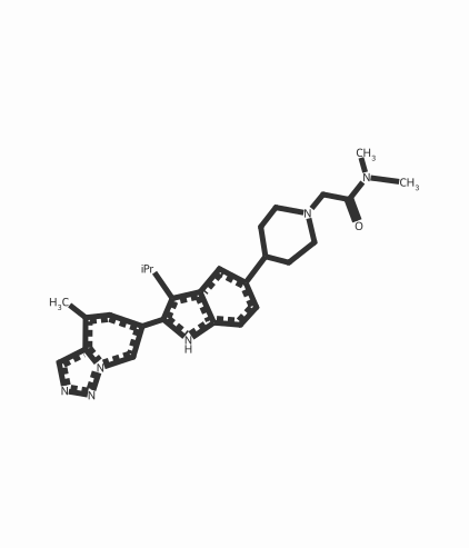 Cc1cc(-c2[nH]c3ccc(C4CCN(CC(=O)N(C)C)CC4)cc3c2C(C)C)cn2nncc12